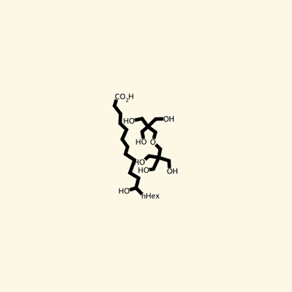 CCCCCCC(O)CCCCCCCCCCC(=O)O.OCC(CO)(CO)COCC(CO)(CO)CO